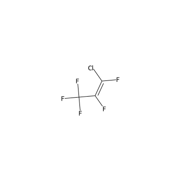 FC(Cl)=C(F)C(F)(F)F